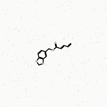 C=CC=CC(=O)OCc1ccc2c(c1)OCO2